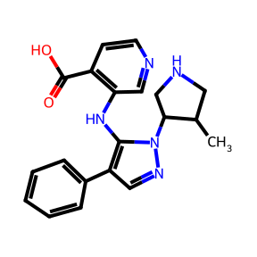 CC1CNCC1n1ncc(-c2ccccc2)c1Nc1cnccc1C(=O)O